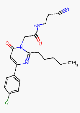 CCCCCc1nc(-c2ccc(Cl)cc2)cc(=O)n1CC(=O)NCCC#N